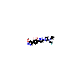 COc1cc(-c2ccc(-c3ccc(N4CCC(N(CCF)C5CCC5)C4)nn3)c(O)c2)cnn1